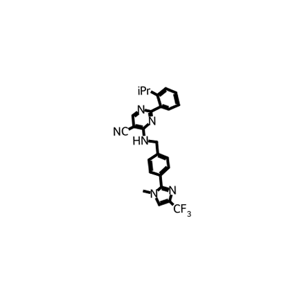 CC(C)c1ccccc1-c1ncc(C#N)c(NCc2ccc(-c3nc(C(F)(F)F)cn3C)cc2)n1